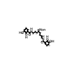 CCCCCCCCCN(CCCCNC(=O)c1cccc(O)c1O)CCCNC(=O)c1cccc(O)c1O